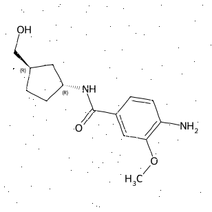 COc1cc(C(=O)N[C@@H]2CC[C@@H](CO)C2)ccc1N